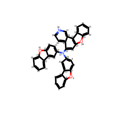 c1ccc2c(c1)oc1ccc(N(c3ccc4oc5ccccc5c4c3)c3cc4oc5ccccc5c4c4cnccc34)cc12